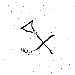 CC(C)(C(=O)O)N1CC1